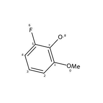 COc1cccc(F)c1[O]